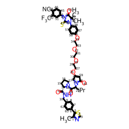 Cc1ncsc1-c1ccc(CNC(=O)[C@@H]2CCCN2C(=O)C(C(C)C)N2CC(OCCOCCOCCOc3ccc(N4C(=S)N(c5ccc(C#N)c(C(F)(F)F)c5)C(=O)C4(C)C)cc3)=CC2=O)cc1